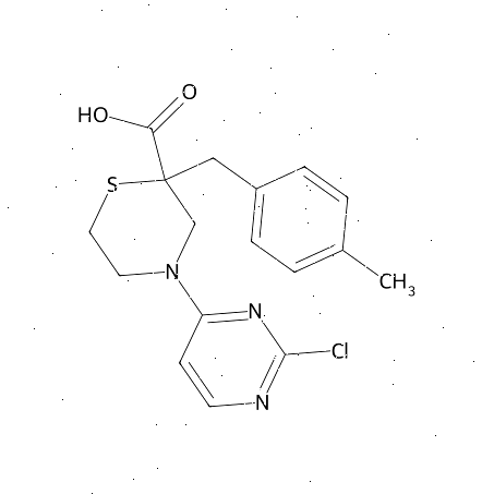 Cc1ccc(CC2(C(=O)O)CN(c3ccnc(Cl)n3)CCS2)cc1